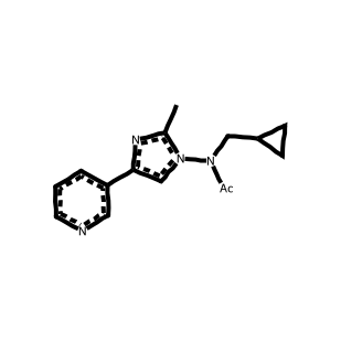 CC(=O)N(CC1CC1)n1cc(-c2cccnc2)nc1C